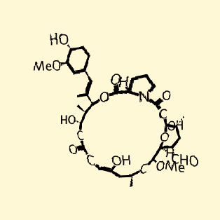 CO[C@H]1C[C@@H](C)C/C(O)=C/CC(=O)C[C@H](O)[C@@H](C)[C@@H](/C(C)=C/[C@@H]2CC[C@@H](O)[C@H](OC)C2)OC(=O)[C@@H]2CCCN2C(=O)C[C@]2(O)O[C@H]1[C@@H](C=O)C[C@H]2C